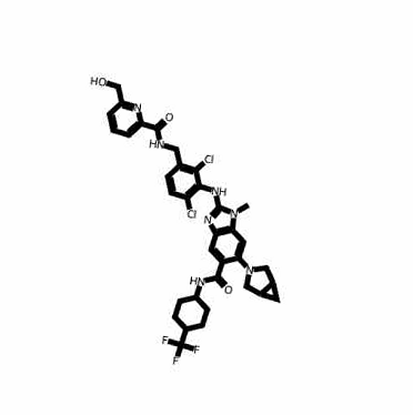 Cn1c(Nc2c(Cl)ccc(CNC(=O)c3cccc(CO)n3)c2Cl)nc2cc(C(=O)NC3CCC(C(F)(F)F)CC3)c(N3CC4CC4C3)cc21